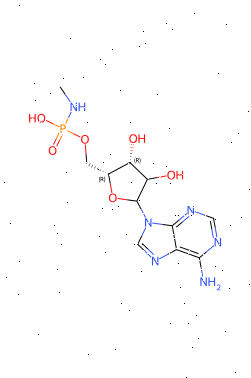 CNP(=O)(O)OC[C@H]1OC(n2cnc3c(N)ncnc32)C(O)[C@H]1O